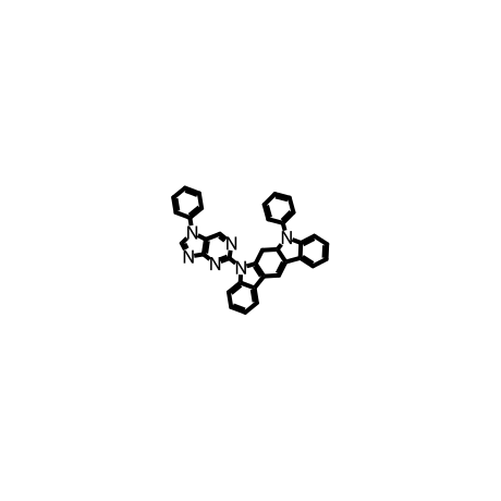 C1=C2c3ccccc3N(c3ccccc3)C2Cc2c1c1ccccc1n2-c1ncc2c(ncn2-c2ccccc2)n1